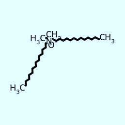 CCCCCCCCCCCCCCC[N+]([O-])(CCCCCCCCCCCCCCC)C(C)C